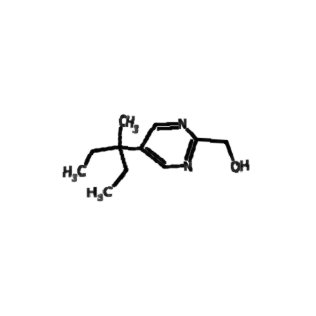 CCC(C)(CC)c1cnc(CO)nc1